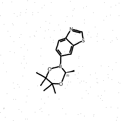 C[C@H]1OC(C)(C)C(C)(C)OB1c1ccc2ncsc2c1